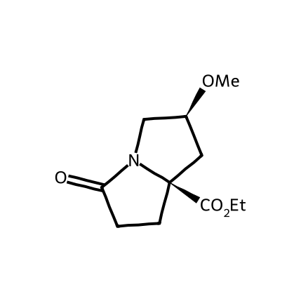 CCOC(=O)[C@@]12CCC(=O)N1C[C@@H](OC)C2